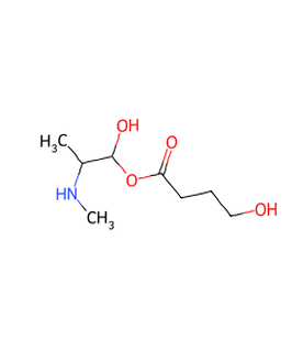 CNC(C)C(O)OC(=O)CCCO